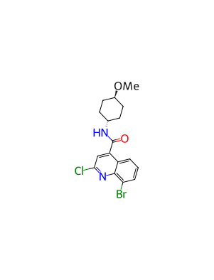 CO[C@H]1CC[C@H](NC(=O)c2cc(Cl)nc3c(Br)cccc23)CC1